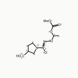 COC(=O)OC(C)O/N=[N+](\[O-])N1CCC(C(=O)O)C1